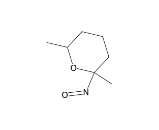 CC1CCCC(C)(N=O)O1